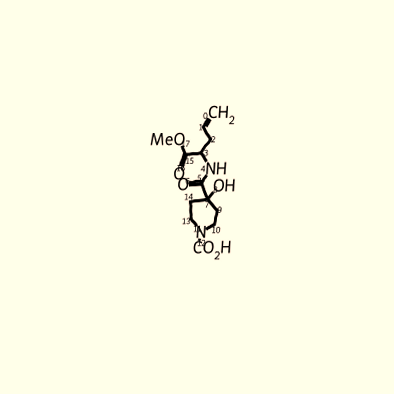 C=CCC(NC(=O)C1(O)CCN(C(=O)O)CC1)C(=O)OC